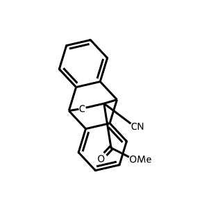 COC(=O)C1(C#N)CC2c3ccccc3C1c1ccccc12